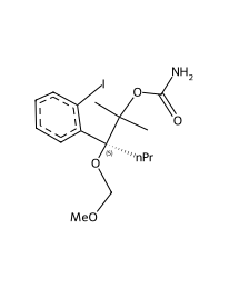 CCC[C@](OCOC)(c1ccccc1I)C(C)(C)OC(N)=O